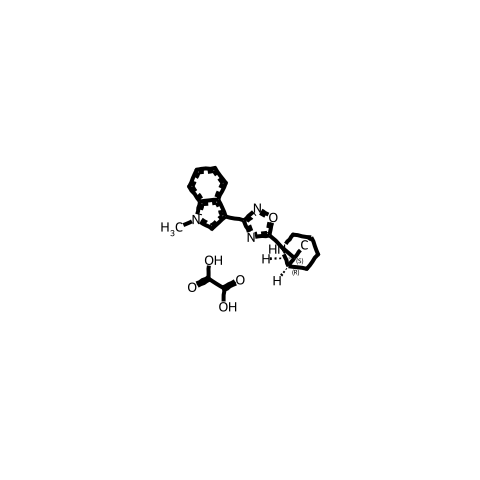 Cn1cc(-c2noc([C@H]3CC4CC[C@H]3NC4)n2)c2ccccc21.O=C(O)C(=O)O